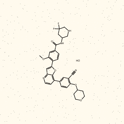 COc1cc(C(=O)NC2CNCC(F)(F)C2)ccc1-c1cc2nccc(-c3ccc(OC4CCOCC4)c(C#N)c3)c2o1.Cl